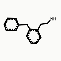 [NH]CCc1ccccc1Cc1ccccc1